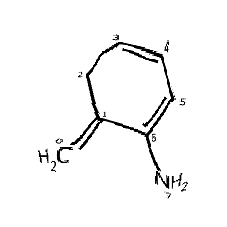 C=C1CC=CC=C1N